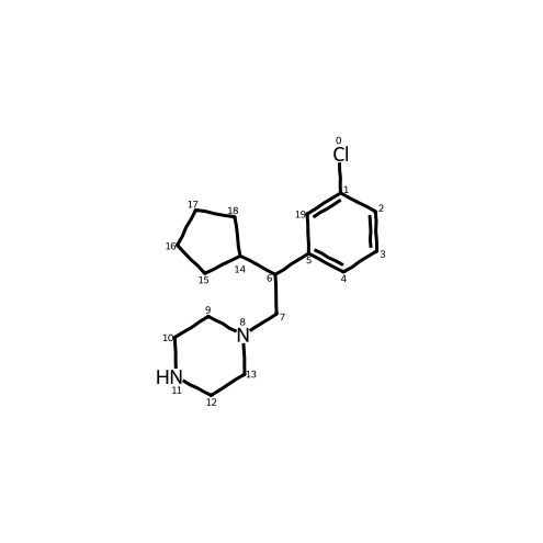 Clc1cccc(C(CN2CCNCC2)C2CCCC2)c1